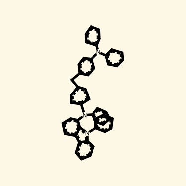 c1ccc(N(c2ccccc2)c2ccc(Cc3ccc(N(c4ccccc4)c4cccc5c6ccccc6n(-c6ccccc6)c45)cc3)cc2)cc1